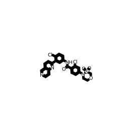 O=C(Nc1ccc(Cl)c(-c2ccc3cnccc3n2)c1)c1ccc(N2CCOCS2(=O)=O)cc1Cl